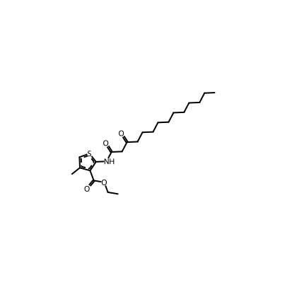 CCCCCCCCCCCC(=O)CC(=O)Nc1scc(C)c1C(=O)OCC